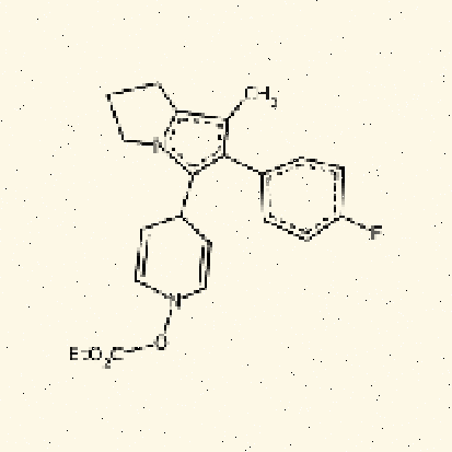 CCOC(=O)ON1C=CC(c2c(-c3ccc(F)cc3)c(C)c3n2CCC3)C=C1